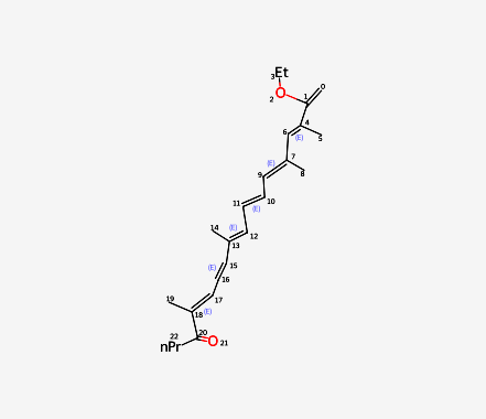 C=C(OCC)/C(C)=C/C(C)=C/C=C/C=C(C)/C=C/C=C(\C)C(=O)CCC